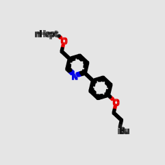 CCCCCCCOCc1ccc(-c2ccc(OCCC(C)CC)cc2)nc1